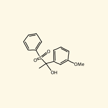 COc1cccc(C(C)(O)S(=O)(=O)c2ccccc2)c1